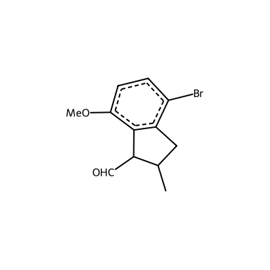 COc1ccc(Br)c2c1C(C=O)C(C)C2